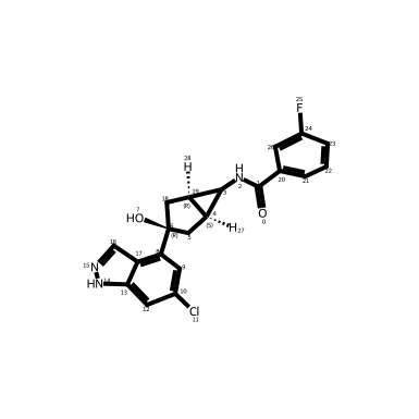 O=C(NC1[C@H]2C[C@](O)(c3cc(Cl)cc4[nH]ncc34)C[C@@H]12)c1cccc(F)c1